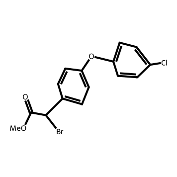 COC(=O)C(Br)c1ccc(Oc2ccc(Cl)cc2)cc1